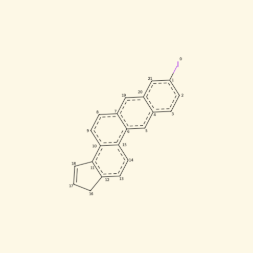 Ic1ccc2cc3c(ccc4c5c(ccc43)CC=C5)cc2c1